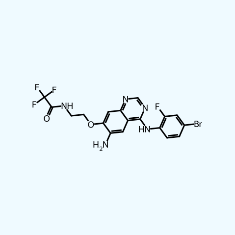 Nc1cc2c(Nc3ccc(Br)cc3F)ncnc2cc1OCCNC(=O)C(F)(F)F